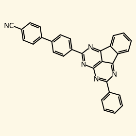 N#Cc1ccc(-c2ccc(-c3nc4c5c(nc(-c6ccccc6)nc5n3)-c3ccccc3-4)cc2)cc1